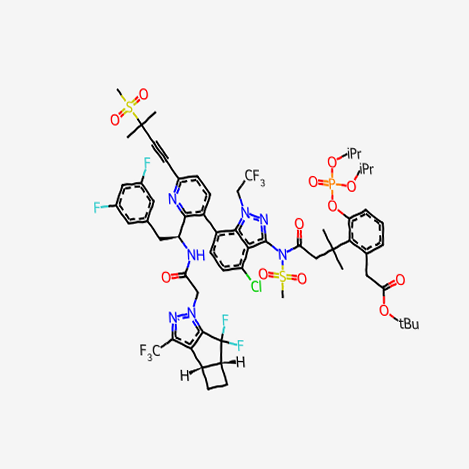 CC(C)OP(=O)(Oc1cccc(CC(=O)OC(C)(C)C)c1C(C)(C)CC(=O)N(c1nn(CC(F)(F)F)c2c(-c3ccc(C#CC(C)(C)S(C)(=O)=O)nc3[C@H](Cc3cc(F)cc(F)c3)NC(=O)Cn3nc(C(F)(F)F)c4c3C(F)(F)[C@@H]3CC[C@H]43)ccc(Cl)c12)S(C)(=O)=O)OC(C)C